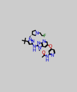 CC(=O)Nc1cc(Oc2cnc3nc(Nc4cc(C(C)(C)C)n(C[C@@H]5CCN(CCF)C5)n4)n(C)c3c2)ccn1